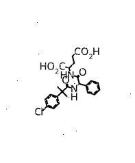 CC(C)(C(=O)N[C@H](C(=O)N[C@H](CCC(=O)O)C(=O)O)c1ccccc1)c1ccc(Cl)cc1